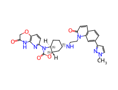 Cn1ccc(-c2ccc3ccc(=O)n(CCN[C@H]4CC[C@H]5[C@H](C4)OC(=O)N5c4ccc5c(n4)NC(=O)CO5)c3c2)n1